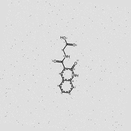 O=C(O)CNC(=O)c1cc2ccccc2[nH]c1=O